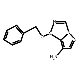 Nc1cnn2cnn(OCc3ccccc3)c12